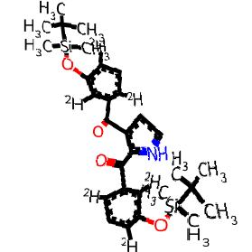 [2H]c1cc([2H])c(C(=O)c2cc[nH]c2C(=O)c2c([2H])cc([2H])c(O[Si](C)(C)C(C)(C)C)c2[2H])c([2H])c1O[Si](C)(C)C(C)(C)C